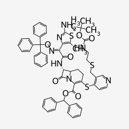 Cc1sc(N)nc1C(=NOC(c1ccccc1)(c1ccccc1)c1ccccc1)C(=O)N[C@H]1C(=O)N2C(C(=O)OC(c3ccccc3)c3ccccc3)=C(Sc3ccncc3CSCCNC(=O)OC(C)(C)C)CCC12